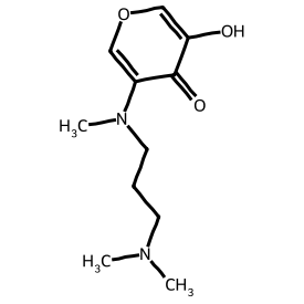 CN(C)CCCN(C)c1cocc(O)c1=O